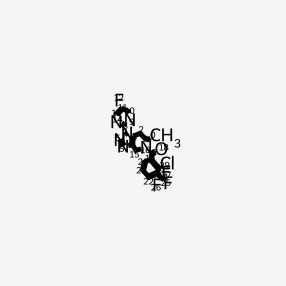 CC1Cc2c(nnn2-c2ncc(F)cn2)CN1C(=O)c1cccc(C(F)(F)F)c1Cl